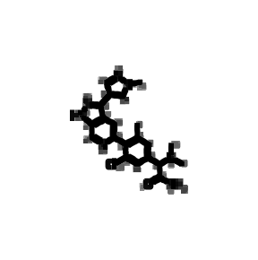 Cc1cc(C(C(N)=O)N(C)C)cc(Cl)c1-c1cc2c(-c3cnn(C)c3)n[nH]c2cn1